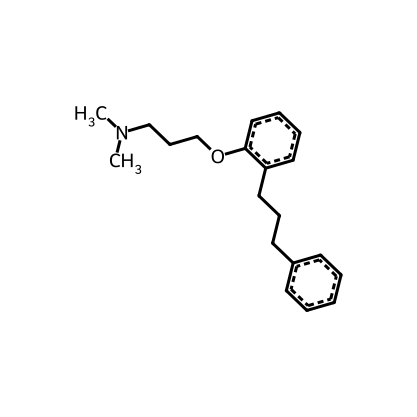 CN(C)CCCOc1ccccc1CCCc1ccccc1